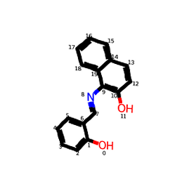 Oc1ccccc1C=Nc1c(O)ccc2ccccc12